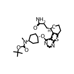 CN(C(=O)OC(C)(C)C)[C@H]1CC[C@H](Oc2ncnc3sc4c(c23)[C@@H](CCC(N)=O)CCC4)CC1